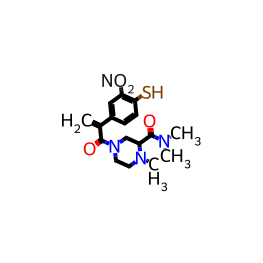 C=C(C(=O)N1CCN(C)C(C(=O)N(C)C)C1)c1ccc(S)c([N+](=O)[O-])c1